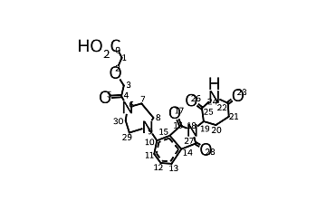 O=C(O)COCC(=O)N1CCN(c2cccc3c2C(=O)N(C2CCC(=O)NC2=O)C3=O)CC1